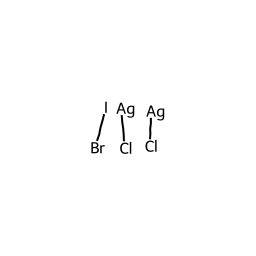 BrI.[Cl][Ag].[Cl][Ag]